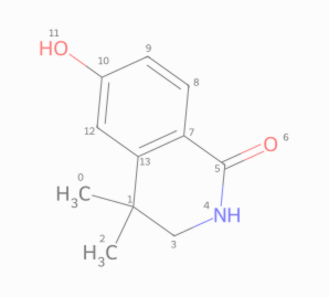 CC1(C)CNC(=O)c2ccc(O)cc21